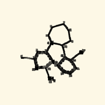 Cc1cc(N2CCCCCC2c2ccccc2Br)nc(N)n1